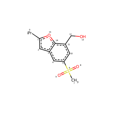 CC(C)c1cc2cc(S(C)(=O)=O)cc(CO)c2o1